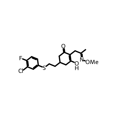 CON=C(C)CC1=C(O)CC(CCSc2ccc(F)c(Cl)c2)CC1=O